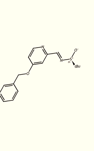 CC(C)(C)[S@+]([O-])N=Cc1cc(OCc2ccccc2)ccn1